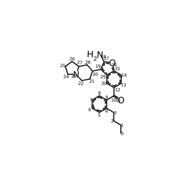 CCCCc1ccccc1C(=O)c1ccc2oc(N)c(C3CCN4CCCC4C3)c2c1